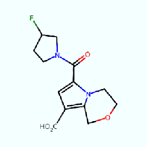 O=C(O)c1cc(C(=O)N2CCC(F)C2)n2c1COCC2